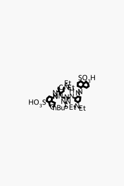 CCCCSc1nc(Nc2cc(N(CC)CC)ccc2/N=N/c2ccc(S(=O)(=O)O)c3ccccc23)nc(Nc2cc(N(CC)CC)ccc2/N=N/c2ccc(S(=O)(=O)O)c3ccccc23)n1